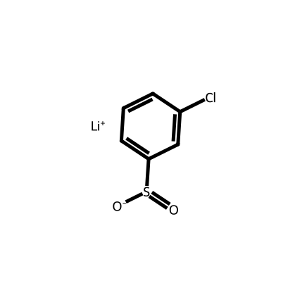 O=S([O-])c1cccc(Cl)c1.[Li+]